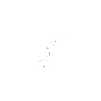 O=C(O)CCS(=O)(=O)c1ccc(C2CC(O)(c3ccc(OCc4c(-c5c(Cl)cccc5Cl)noc4C4CC4)cc3Cl)C2)cc1